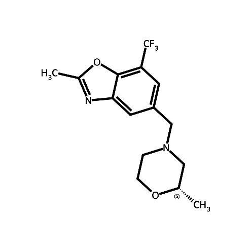 Cc1nc2cc(CN3CCO[C@@H](C)C3)cc(C(F)(F)F)c2o1